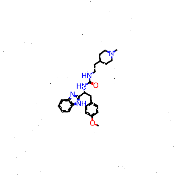 COc1ccc(CC(NC(=O)NCCC2CCN(C)CC2)c2nc3ccccc3[nH]2)cc1